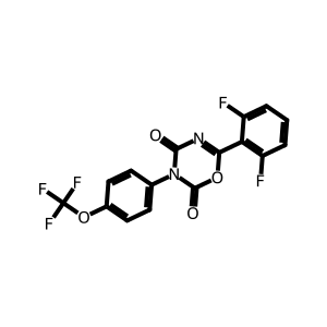 O=c1nc(-c2c(F)cccc2F)oc(=O)n1-c1ccc(OC(F)(F)F)cc1